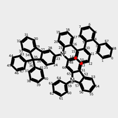 c1ccc(-c2ccccc2-c2ccccc2-c2ccccc2N(c2ccc3c(c2)-c2ccccc2C3(c2ccccc2)c2ccccc2)c2ccc3c4ccccc4n(-c4ccccc4)c3c2)cc1